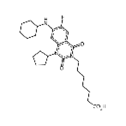 O=C(O)CCCCCCn1c(=O)c2cc(F)c(NC3CCCCC3)cc2n(C2CCCC2)c1=O